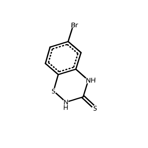 S=C1NSc2ccc(Br)cc2N1